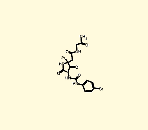 CC(C)C1(CC(=O)NCC(N)=O)NC(=O)N(NC(=O)Nc2ccc(Br)cc2)C1=O